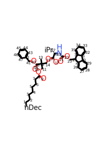 CCCCCCCCCCCCCCCCCC(=O)OCC(C)(COC(=O)[C@@H](NC(=O)OCC1c2ccccc2-c2ccccc21)C(C)C)C(=O)OCc1ccccc1